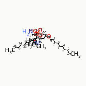 CCCCCCCCCCOC(C)CC(C[N+](C)(C)C)(OP(=O)([O-])O)C(CCN)CCCCCCCCC